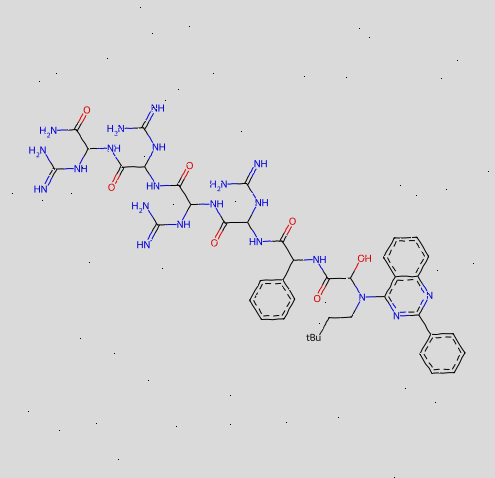 CC(C)(C)CCN(c1nc(-c2ccccc2)nc2ccccc12)C(O)C(=O)NC(C(=O)NC(NC(=N)N)C(=O)NC(NC(=N)N)C(=O)NC(NC(=N)N)C(=O)NC(NC(=N)N)C(N)=O)c1ccccc1